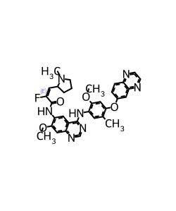 COc1cc2ncnc(Nc3cc(C)c(Oc4ccc5nccnc5c4)cc3OC)c2cc1NC(=O)/C(F)=C\C1CCCN1C